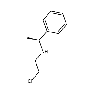 C[C@H](NCCCl)c1ccccc1